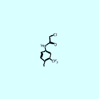 Cc1ccc(NC(=O)CCl)cc1C(F)(F)F